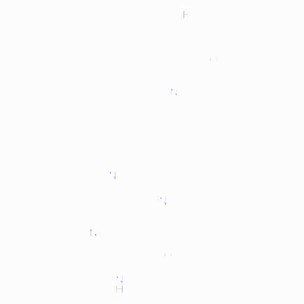 CC(C)=CCn1c(C2CCN(C(=O)OC(C)(C)C)CC2)nc2c1c(=O)[nH]c(=O)n2C